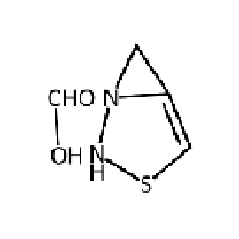 C1=C2CN2NS1.O=CO